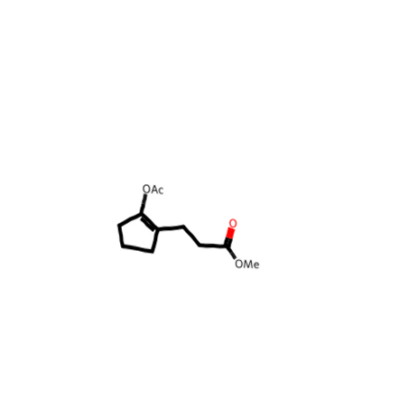 COC(=O)CCC1=C(OC(C)=O)CCC1